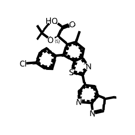 Cc1cc2nc(-c3cnc4c(c3)C(C)C=N4)sc2c(-c2ccc(Cl)cc2)c1[C@H](OC(C)(C)C)C(=O)O